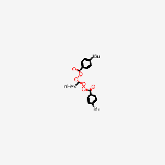 [CH2]CCCCC[C](OOC(=O)c1ccc(C(C)(C)C)cc1)OOC(=O)c1ccc(C(C)(C)C)cc1